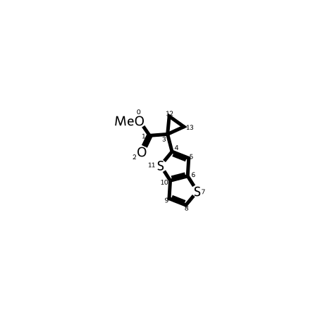 COC(=O)C1(c2cc3sccc3s2)CC1